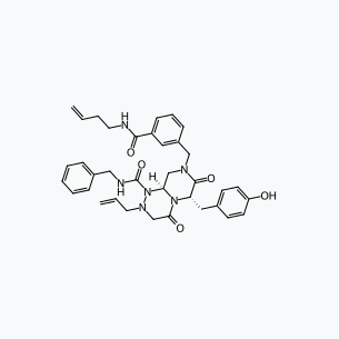 C=CCCNC(=O)c1cccc(CN2C[C@H]3N(C(=O)CN(CC=C)N3C(=O)NCc3ccccc3)[C@@H](Cc3ccc(O)cc3)C2=O)c1